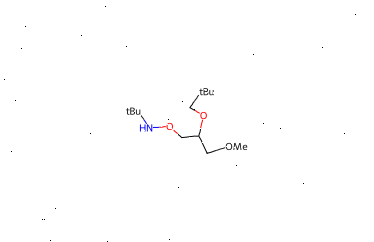 COCC(CONC(C)(C)C)OCC(C)(C)C